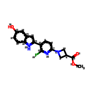 COC(=O)C1CN(c2ccc(-c3cc4cc(O)ccc4[nH]3)c(F)n2)C1